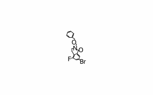 O=C1c2cc(Br)cc(F)c2CCN1COCc1ccccc1